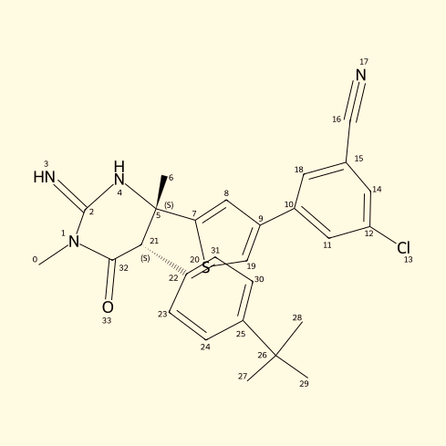 CN1C(=N)N[C@](C)(c2cc(-c3cc(Cl)cc(C#N)c3)cs2)[C@H](c2ccc(C(C)(C)C)cc2)C1=O